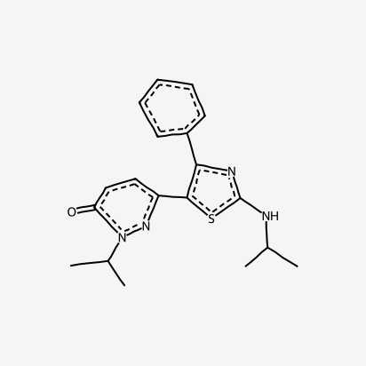 CC(C)Nc1nc(-c2ccccc2)c(-c2ccc(=O)n(C(C)C)n2)s1